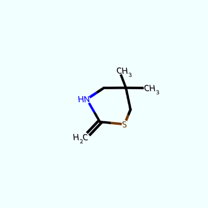 C=C1NCC(C)(C)CS1